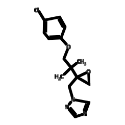 CC(C)(COc1ccc(Cl)cc1)C1(Cn2cncn2)CO1